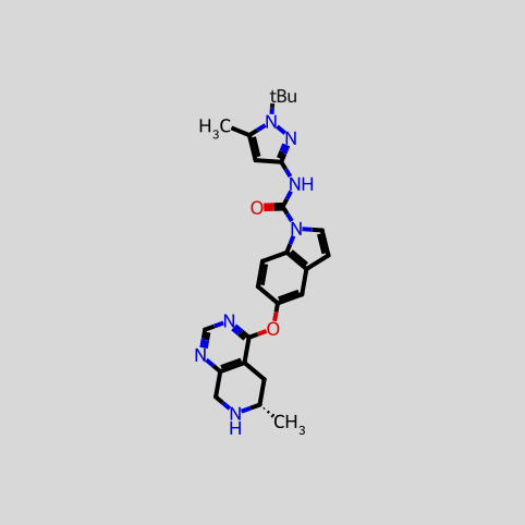 Cc1cc(NC(=O)n2ccc3cc(Oc4ncnc5c4C[C@H](C)NC5)ccc32)nn1C(C)(C)C